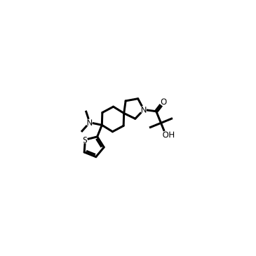 CN(C)C1(c2cccs2)CCC2(CCN(C(=O)C(C)(C)O)C2)CC1